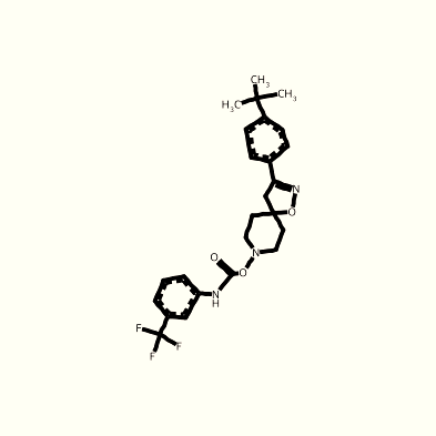 CC(C)(C)c1ccc(C2=NOC3(CCN(OC(=O)Nc4cccc(C(F)(F)F)c4)CC3)C2)cc1